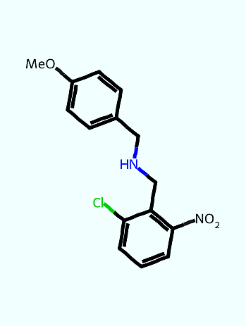 COc1ccc(CNCc2c(Cl)cccc2[N+](=O)[O-])cc1